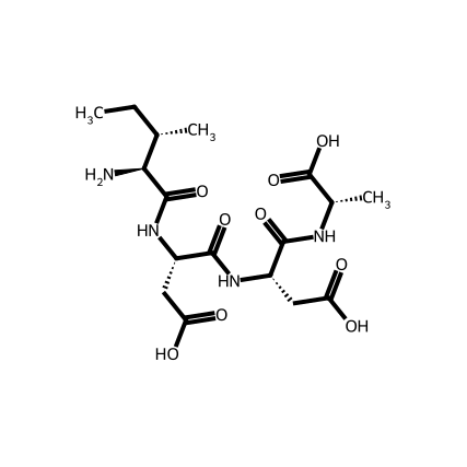 CC[C@H](C)[C@H](N)C(=O)N[C@@H](CC(=O)O)C(=O)N[C@@H](CC(=O)O)C(=O)N[C@@H](C)C(=O)O